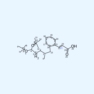 CC(C[SiH2]C(O[Si](C)(C)C)O[Si](C)(C)C)Cc1ccccc1/C=C/C(=O)O